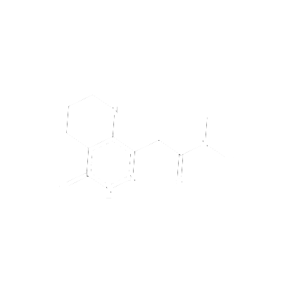 CC(C)N(C)C(=O)Cc1n[nH]c(=O)c2c1NCCC2